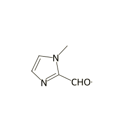 Cn1ccnc1[C]=O